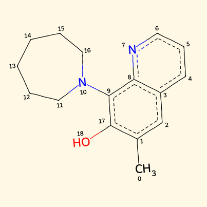 Cc1cc2cccnc2c(N2CCCCCC2)c1O